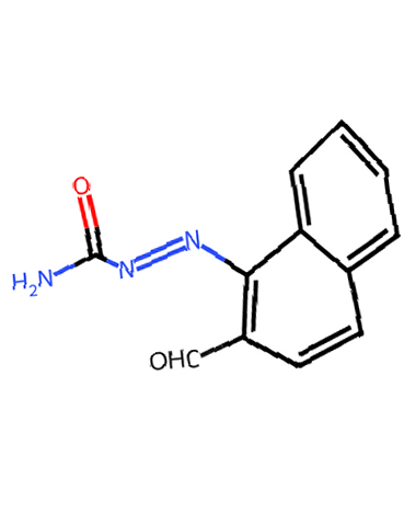 NC(=O)N=Nc1c(C=O)ccc2ccccc12